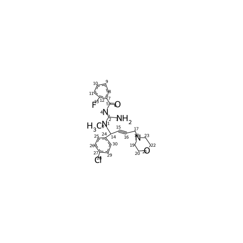 CN(/C(N)=N/C(=O)c1ccccc1F)C(C#CCN1CCOCC1)c1ccc(Cl)cc1